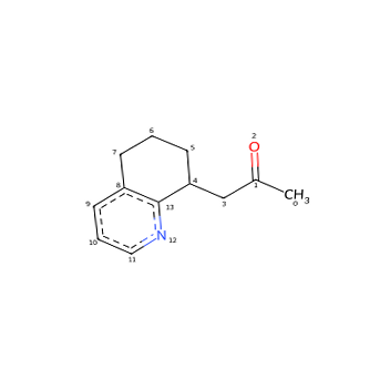 CC(=O)CC1CCCc2cccnc21